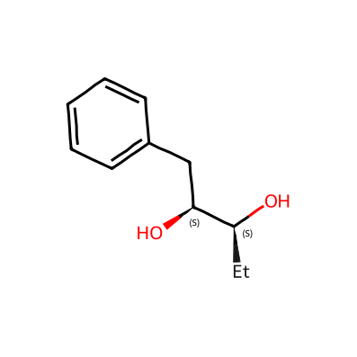 [CH2]C[C@H](O)[C@@H](O)Cc1ccccc1